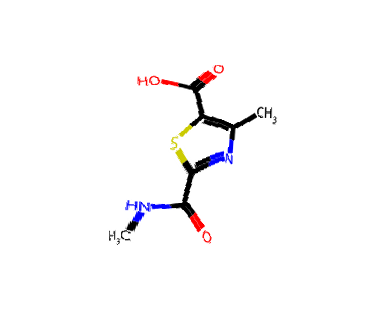 CNC(=O)c1nc(C)c(C(=O)O)s1